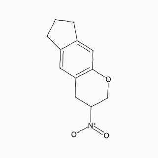 O=[N+]([O-])C1COc2cc3c(cc2C1)CCC3